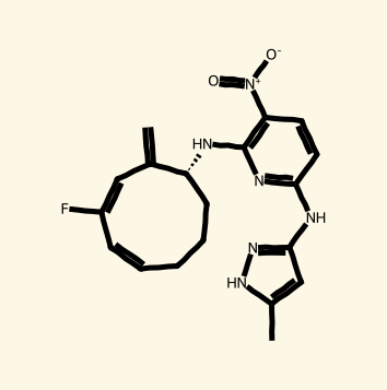 C=C1/C=C(F)\C=C/CCC[C@H]1Nc1nc(Nc2cc(C)[nH]n2)ccc1[N+](=O)[O-]